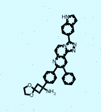 NC1(c2ccc(-c3nc4ccn5c(-c6ccc7[nH]ccc7c6)nnc5c4cc3-c3ccccc3)cc2)CC2(C1)OCCO2